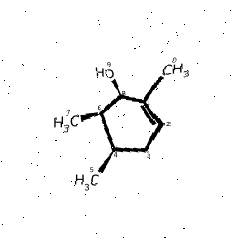 CC1=CC[C@@H](C)[C@@H](C)[C@H]1O